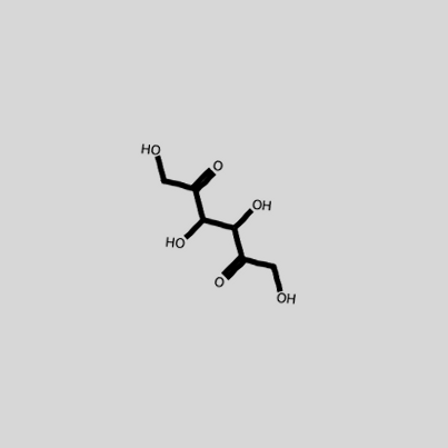 O=C(CO)C(O)C(O)C(=O)CO